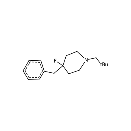 CC(C)(C)CN1CCC(F)(Cc2ccccc2)CC1